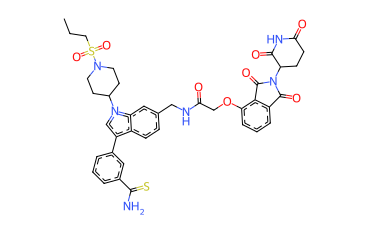 CCCS(=O)(=O)N1CCC(n2cc(-c3cccc(C(N)=S)c3)c3ccc(CNC(=O)COc4cccc5c4C(=O)N(C4CCC(=O)NC4=O)C5=O)cc32)CC1